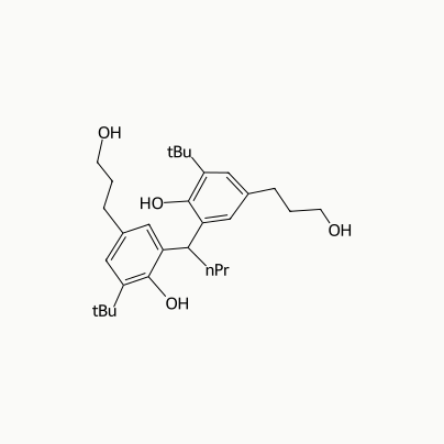 CCCC(c1cc(CCCO)cc(C(C)(C)C)c1O)c1cc(CCCO)cc(C(C)(C)C)c1O